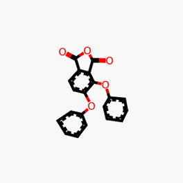 O=C1OC(=O)c2c1ccc(Oc1ccccc1)c2Oc1ccccc1